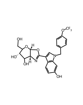 OCC1O[C@@H]2OC(c3cn(Cc4ccc(OC(F)(F)F)cc4)c4cc(O)ccc34)=N[C@@H]2C(O)[C@@H]1O